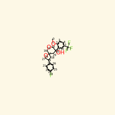 COc1ccc(C(F)(F)F)cc1C1(O)COCC2(CC(c3ccc(F)cc3)CO2)C1